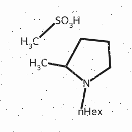 CCCCCCN1CCCC1C.CS(=O)(=O)O